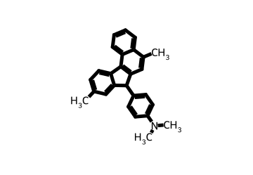 Cc1ccc2c(c1)C(c1ccc(N(C)C)cc1)c1cc(C)c3ccccc3c1-2